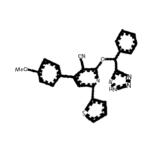 COc1ccc(-c2cc(-c3cccs3)nc(OC(c3ccccc3)c3nn[nH]n3)c2C#N)cc1